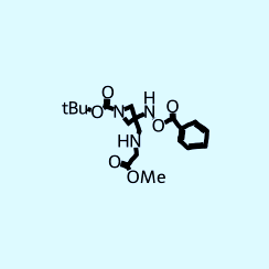 COC(=O)CNCC1(NOC(=O)c2ccccc2)CN(C(=O)OC(C)(C)C)C1